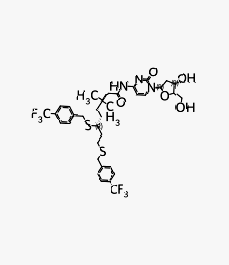 CC(C)(CC[C@H](CCSCc1ccc(C(F)(F)F)cc1)SCc1ccc(C(F)(F)F)cc1)CC(=O)Nc1ccn([C@H]2C[C@@H](O)C(CO)O2)c(=O)n1